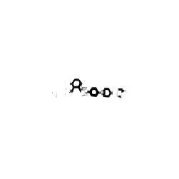 N#CCNC(=O)C1CCCCC1CS(=O)(=O)c1ccc(N2CCC(N3CCOCC3)CC2)cc1